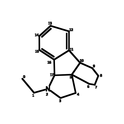 CCN1CCC23CCCCC2c2ccccc2C13